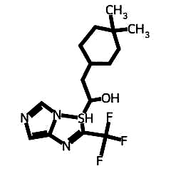 CC1(C)CCC(CC(O)[SH]2C(C(F)(F)F)=Nc3cncn32)CC1